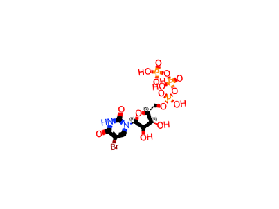 O=c1[nH]c(=O)n([C@@H]2O[C@H](COP(=O)(O)OP(=O)(O)OP(=O)(O)O)[C@H](O)C2O)cc1Br